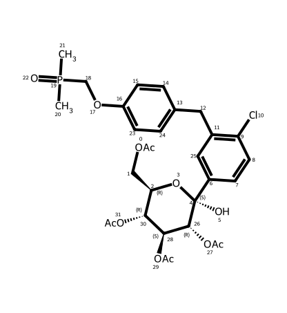 CC(=O)OC[C@H]1O[C@@](O)(c2ccc(Cl)c(Cc3ccc(OCP(C)(C)=O)cc3)c2)[C@H](OC(C)=O)[C@@H](OC(C)=O)[C@@H]1OC(C)=O